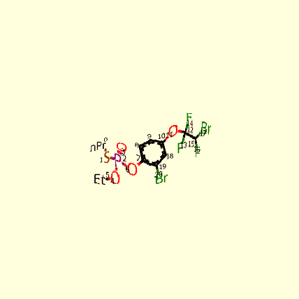 CCCSP(=O)(OCC)Oc1ccc(OC(F)(F)C(F)Br)cc1Br